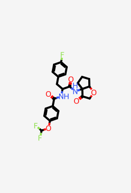 O=C(NC(Cc1ccc(F)cc1)C(=O)NC12CCCC1OCC2=O)c1ccc(OC(F)F)cc1